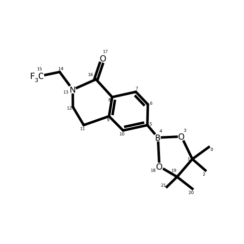 CC1(C)OB(c2ccc3c(c2)CCN(CC(F)(F)F)C3=O)OC1(C)C